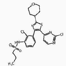 CCCS(=O)(=O)Nc1cccc(-c2nc(C3CCOCC3)sc2-c2ccnc(Cl)n2)c1Cl